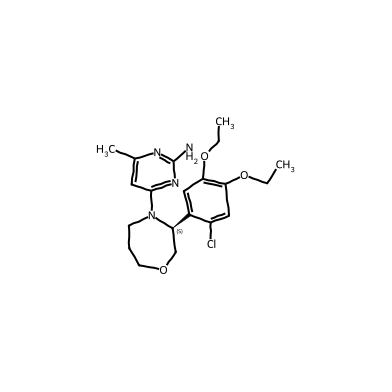 CCOc1cc(Cl)c([C@H]2COCCCN2c2cc(C)nc(N)n2)cc1OCC